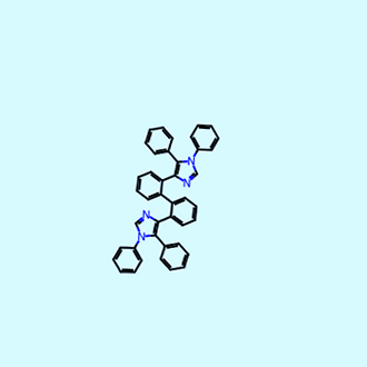 c1ccc(-c2c(-c3ccccc3-c3ccccc3-c3ncn(-c4ccccc4)c3-c3ccccc3)ncn2-c2ccccc2)cc1